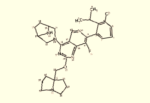 CC(C)c1c(Cl)cccc1-c1ncc2c(N3CC4CCC(C3)N4)nc(OCC34CCCN3CCC4)nc2c1F